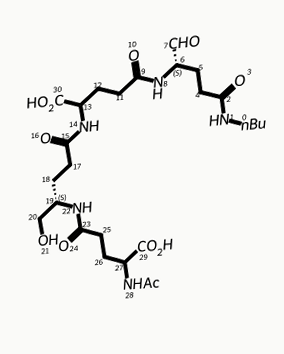 CCCCNC(=O)CC[C@@H](C=O)NC(=O)CCC(NC(=O)CC[C@@H](CO)NC(=O)CCC(NC(C)=O)C(=O)O)C(=O)O